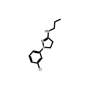 CCCNC1=NN(c2cccc(Cl)c2)CC1